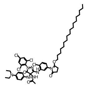 CCCCCCCCCCCCCCCCCCOC1=[N+](c2ccc(Cl)c(NC3=NN(c4c(Cl)cc(Cl)cc4Cl)C(=O)C3(NC(C)=O)Nc3ccc(N(CC)CC)cc3)c2)C(=O)CC1